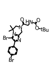 CC(C)(C)OC(=O)NCC(=O)N1Cc2nc(-c3ccc(Br)cc3)c(Br)n2C(C)(C)C1